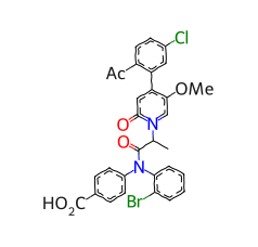 COc1cn(C(C)C(=O)N(c2ccc(C(=O)O)cc2)c2ccccc2Br)c(=O)cc1-c1cc(Cl)ccc1C(C)=O